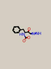 N=[N+]=CC(=O)C(Cc1ccccc1)NC(=O)[O-]